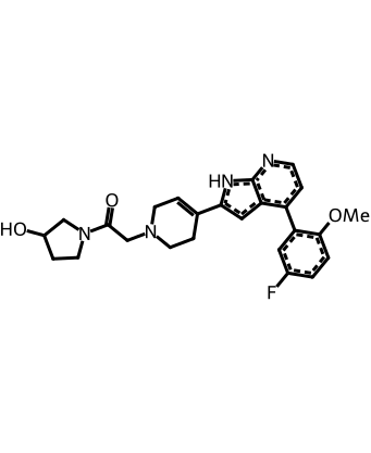 COc1ccc(F)cc1-c1ccnc2[nH]c(C3=CCN(CC(=O)N4CCC(O)C4)CC3)cc12